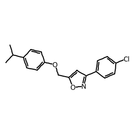 CC(C)c1ccc(OCc2cc(-c3ccc(Cl)cc3)no2)cc1